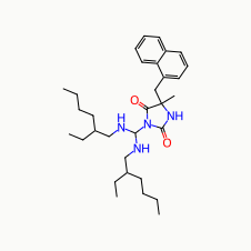 CCCCC(CC)CNC(NCC(CC)CCCC)N1C(=O)NC(C)(Cc2cccc3ccccc23)C1=O